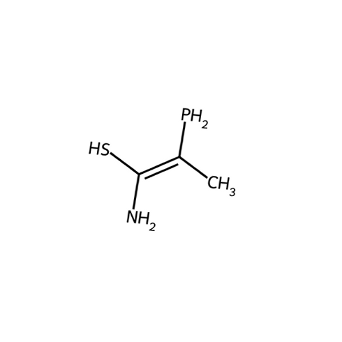 C/C(P)=C(\N)S